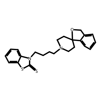 S=c1sc2ccccc2n1CCCCN1CCC2(CC1)OCc1ccccc12